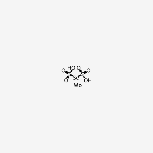 O=S(=O)(O)[Se]S(=O)(=O)O.[Mo]